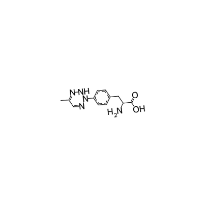 CC1=NNN(c2ccc(CC(N)C(=O)O)cc2)N=C1